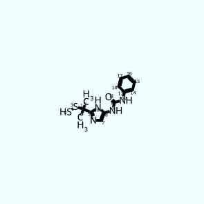 CC(C)(SS)c1ncc(NC(=O)Nc2ccccc2)[nH]1